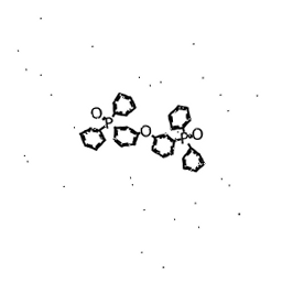 O=P(c1ccccc1)(c1ccccc1)c1cccc(Oc2cccc(P(=O)(c3ccccc3)c3ccccc3)c2)c1